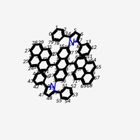 c1ccc(-c2ccc(-c3ccccc3)n2-c2ccc3c(-c4ccc5ccc6cccc7ccc4c5c67)c4cc(-n5c(-c6ccccc6)ccc5-c5ccccc5)ccc4c(-c4ccc5ccc6cccc7ccc4c5c67)c3c2)cc1